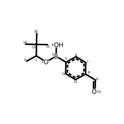 CC(OB(O)c1ccc(C=O)cc1)C(C)(C)C